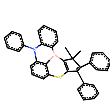 CC1(C)C2=C(Sc3cccc4c3B2c2ccccc2N4c2ccccc2)C(c2ccccc2)=C1c1ccccc1